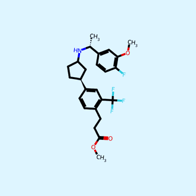 COC(=O)CCc1ccc([C@H]2CCC(N[C@H](C)c3ccc(F)c(OC)c3)C2)cc1C(F)(F)F